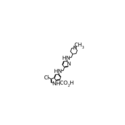 CN1CCC(CNc2ccc(CNc3cc(C(=O)O)c4[nH]cc(Cl)c4c3)cn2)CC1